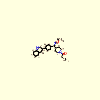 CCC(=O)N1CCC(/C(=N\OC)c2ccc(-c3cnc4ccccc4c3)cc2)CC1